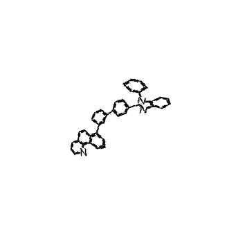 c1ccc(-n2c(-c3ccc(-c4cccc(-c5cccc6c5ccc5cccnc56)c4)cc3)nc3ccccc32)cc1